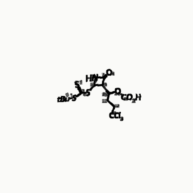 CC(C)(C)SC(=S)S[C@H]1NC(=O)[C@H]1C(CCC(Cl)(Cl)Cl)OC(=O)O